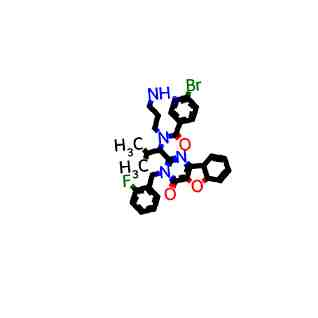 CC(C)C(c1nc2c(c(=O)n1Cc1ccccc1F)OC1C=CC=CC21)N(CCCN)C(=O)c1ccc(Br)cc1